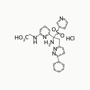 Cl.NC(Cc1ccc(-c2ccccc2)nn1)(c1cccc(NCC(=O)O)n1)S(=O)(=O)c1cccnc1